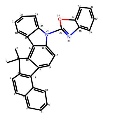 CC1(C)c2ccc3ccccc3c2-c2ccc3c(c21)c1ccccc1n3-c1nc2ccccc2o1